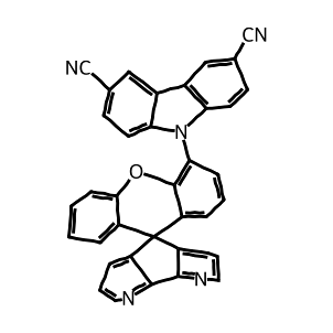 N#Cc1ccc2c(c1)c1cc(C#N)ccc1n2-c1cccc2c1Oc1ccccc1C21c2cccnc2-c2ncccc21